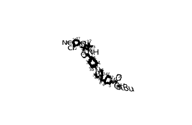 CC(C)(C)OC(=O)N1CCC(CN2CCN(c3ccc(C(=O)N[C@H]4C(C)(C)[C@H](Oc5ccc(C#N)c(Cl)c5)C4(C)C)cc3)CC2)CC1